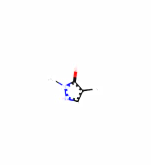 CCCCn1[nH]cc(C(C)(C)C)c1=O